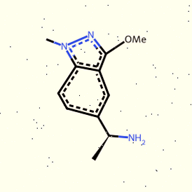 COc1nn(C)c2ccc([C@H](C)N)cc12